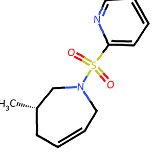 C[C@H]1CC=CCN(S(=O)(=O)c2ccccn2)C1